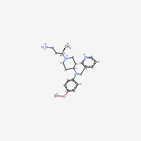 CCOc1ccc(N(Cc2cccnc2)C2CCN([C@H](C)CCN)CC2)cc1